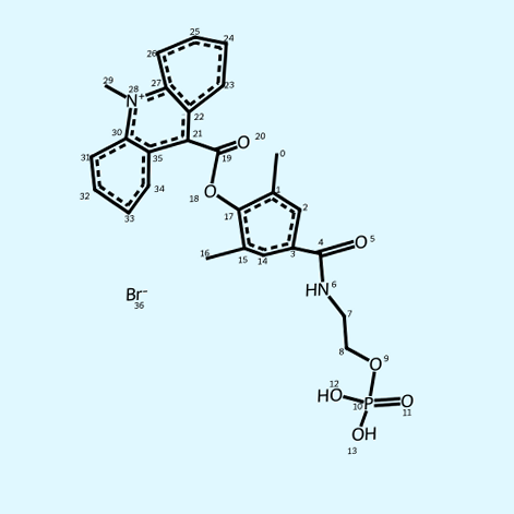 Cc1cc(C(=O)NCCOP(=O)(O)O)cc(C)c1OC(=O)c1c2ccccc2[n+](C)c2ccccc12.[Br-]